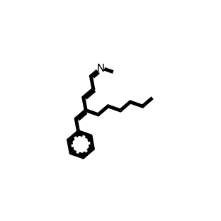 CCCCCCC(/C=C/C=N\C)=C\c1ccccc1